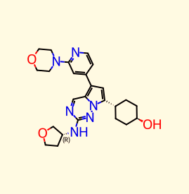 O[C@H]1CC[C@H](c2cc(-c3ccnc(N4CCOCC4)c3)c3cnc(N[C@@H]4CCOC4)nn32)CC1